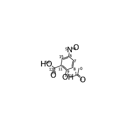 CC(C)=O.O=Nc1ccc(O)c(C(=O)O)c1